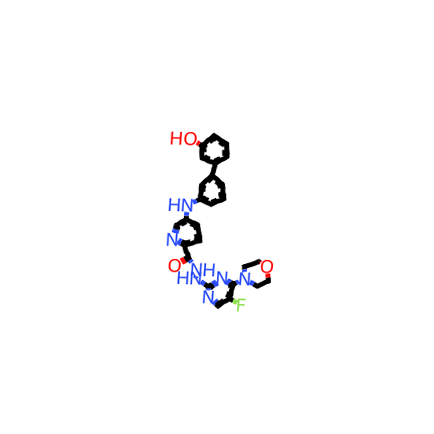 O=C(NNc1ncc(F)c(N2CCOCC2)n1)c1ccc(Nc2cccc(-c3cccc(O)c3)c2)cn1